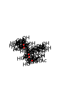 CC(=O)N[C@H]1[C@H](O[C@H]2[C@@H](O)[C@@H](CO)O[C@@H](O[C@H]3[C@H](O)[C@@H](O)[C@H](O)O[C@@H]3CO)[C@@H]2O)O[C@H](CO)[C@@H](O[C@@H]2O[C@H](CO[C@@H]3O[C@H](CO)[C@@H](O[C@@H]4O[C@H](CO)[C@H](O)[C@H](O[C@H]5O[C@H](CO)[C@H](O)[C@H](O)[C@H]5O)[C@H]4O[C@@H]4O[C@@H](C)[C@@H](O)[C@@H](O)[C@@H]4O)[C@H](O)[C@H]3NC(C)=O)[C@H](O)[C@H](O[C@@H]3O[C@H](CO)[C@@H](O[C@@H]4O[C@H](CO)[C@H](O)[C@H](O[C@]5(C(=O)O)C[C@H](O)[C@@H](NC(C)=O)[C@H]([C@H](O)[C@H](O)CO)O5)[C@H]4O)[C@H](O)[C@H]3NC(C)=O)[C@H]2O)[C@@H]1O